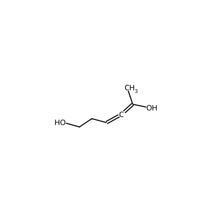 CC(O)=C=CCCO